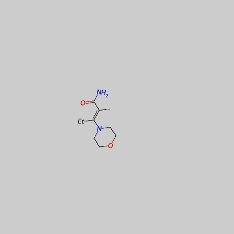 CC/C(=C(/C)C(N)=O)N1CCOCC1